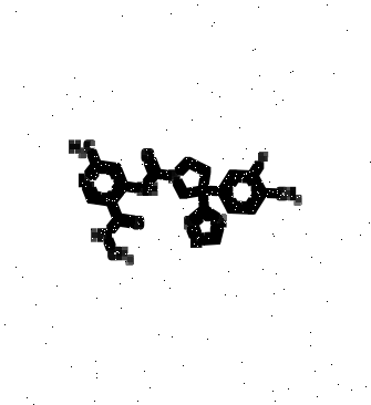 CNC(=O)c1cnc(C)cc1NC(=O)N1CCC(c2ccc(C)c(F)c2)(c2ncns2)C1